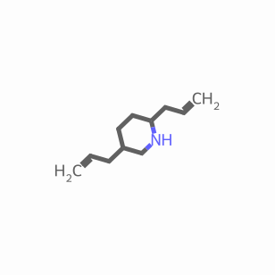 C=CCC1CCC(CC=C)NC1